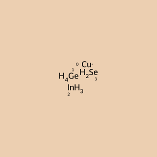 [Cu].[GeH4].[InH3].[SeH2]